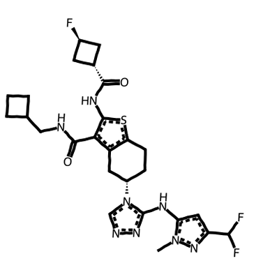 Cn1nc(C(F)F)cc1Nc1nncn1[C@H]1CCc2sc(NC(=O)[C@H]3C[C@H](F)C3)c(C(=O)NCC3CCC3)c2C1